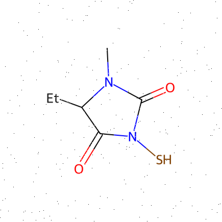 CCC1C(=O)N(S)C(=O)N1C